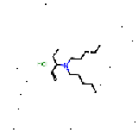 C=CC(CC)N(CCCCC)CCCCC.Cl